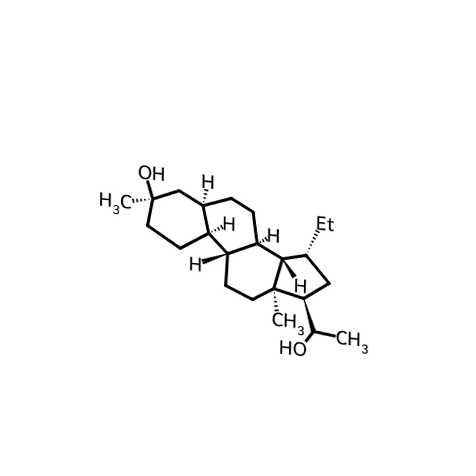 CC[C@@H]1C[C@@H](C(C)O)[C@@]2(C)CC[C@H]3[C@@H](CC[C@@H]4C[C@](C)(O)CC[C@@H]43)[C@H]12